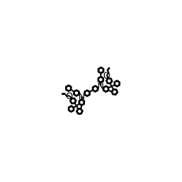 C=CCOc1ccc(C2(c3ccccc3)c3ccccc3-c3ccc(N(c4ccc(-c5ccccc5)cc4)c4ccc(-c5ccc(N(c6ccc(-c7ccccc7)cc6)c6ccc7c(c6)C(c6ccccc6)(c6ccc(OCC=C)cc6)c6ccccc6-7)cc5)cc4)cc32)cc1